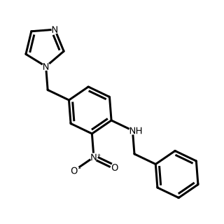 O=[N+]([O-])c1cc(Cn2ccnc2)ccc1NCc1ccccc1